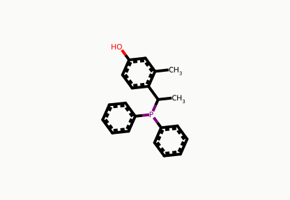 Cc1cc(O)ccc1C(C)P(c1ccccc1)c1ccccc1